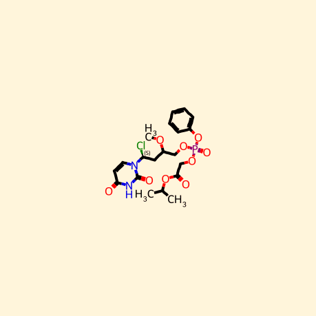 COC(COP(=O)(OCC(=O)OC(C)C)Oc1ccccc1)C[C@H](Cl)n1ccc(=O)[nH]c1=O